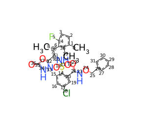 Cc1ccc(F)c([C@@H](C)[C@H](NS(=O)(=O)c2ccc(Cl)cc2C(=O)NOCc2ccccc2)c2n[nH]c(=O)o2)c1C